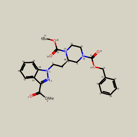 COC(=O)c1nn(CC[C@@H]2CN(C(=O)OCc3ccccc3)CCN2C(=O)OC(C)(C)C)c2ccccc12